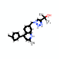 CCC(O)(c1cn(Cc2ccc3c(-c4ccc(C)cc4)cc(C#N)nc3c2)nn1)C(F)(F)F